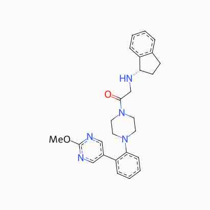 COc1ncc(-c2ccccc2N2CCN(C(=O)CN[C@H]3CCc4ccccc43)CC2)cn1